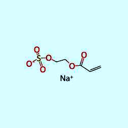 C=CC(=O)OCCOS(=O)(=O)[O-].[Na+]